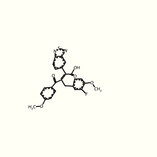 COc1ccc(C(=O)/C(Cc2ccc(OC)c(F)c2)=C(/C(=O)O)c2ccc3nsnc3c2)cc1